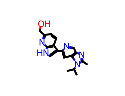 Cc1nc2cnc(-c3c[nH]c4nc(CO)ccc34)cc2n1C(C)C